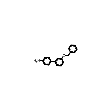 Nc1ccc(-c2cccc(OCc3ccccc3)c2)cc1